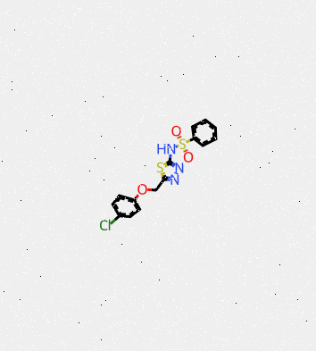 O=S(=O)(Nc1nnc(COc2ccc(Cl)cc2)s1)c1ccccc1